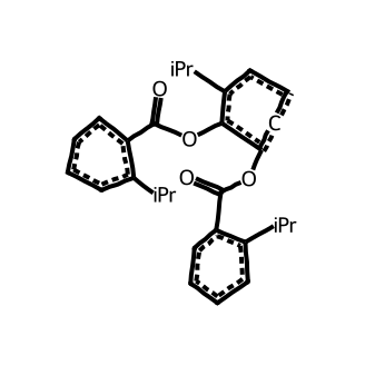 CC(C)c1ccccc1C(=O)Oc1cccc(C(C)C)c1OC(=O)c1ccccc1C(C)C